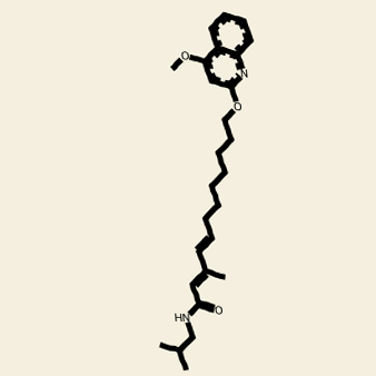 COc1cc(OCCCCCCC/C=C/C(C)=C/C(=O)NCC(C)C)nc2ccccc12